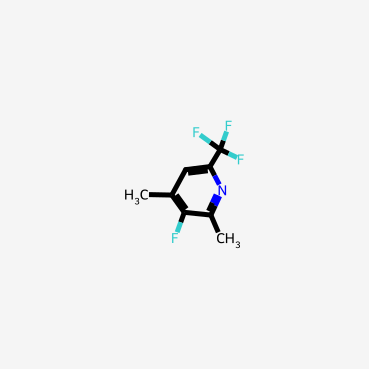 Cc1cc(C(F)(F)F)nc(C)c1F